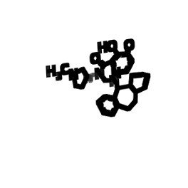 CN1CC[C@@H](N2CN(C3c4ccccc4CCC4C=CC=CC43)n3ccc(=O)c(O)c3C2=O)C1